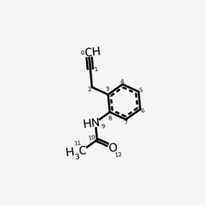 C#CCc1ccccc1NC(C)=O